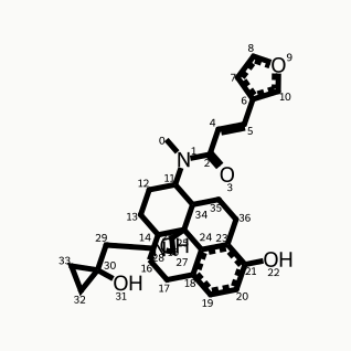 CN(C(=O)/C=C/c1ccoc1)C1CCC2(O)C3Cc4ccc(O)c5c4C2(CCN3CC2(O)CC2)C1CC5